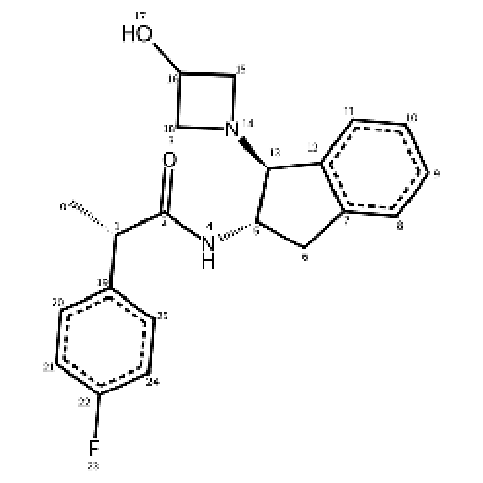 C[C@H](C(=O)N[C@H]1Cc2ccccc2[C@@H]1N1CC(O)C1)c1ccc(F)cc1